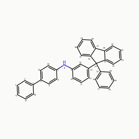 c1ccc(-c2ccc(Nc3cccc(C4(c5ccccc5)c5ccccc5-c5ccccc54)c3)cc2)cc1